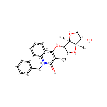 N#Cc1c(O[C@H]2CO[C@H]3[C@@H]2OC[C@@H]3O)c2ccccc2n(Cc2ccccc2)c1=O